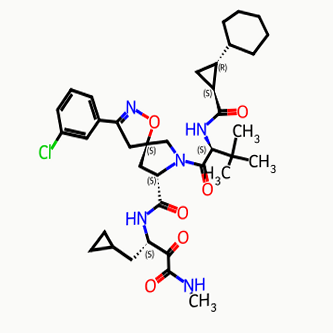 CNC(=O)C(=O)[C@H](CC1CC1)NC(=O)[C@@H]1C[C@]2(CC(c3cccc(Cl)c3)=NO2)CN1C(=O)[C@@H](NC(=O)[C@H]1C[C@@H]1C1CCCCC1)C(C)(C)C